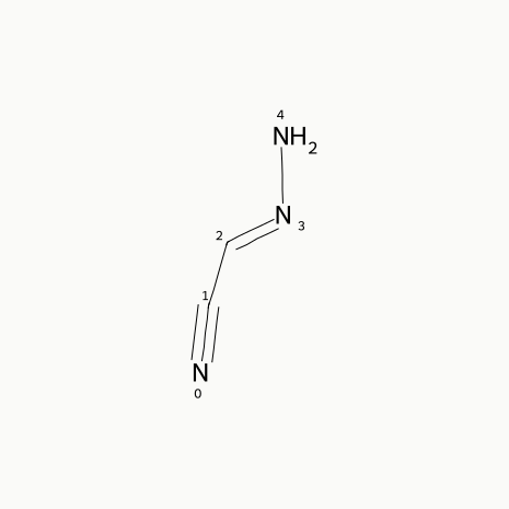 N#CC=NN